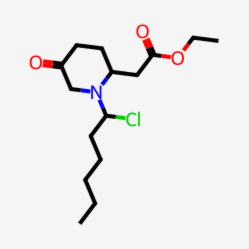 CCCCCC(Cl)N1CC(=O)CCC1CC(=O)OCC